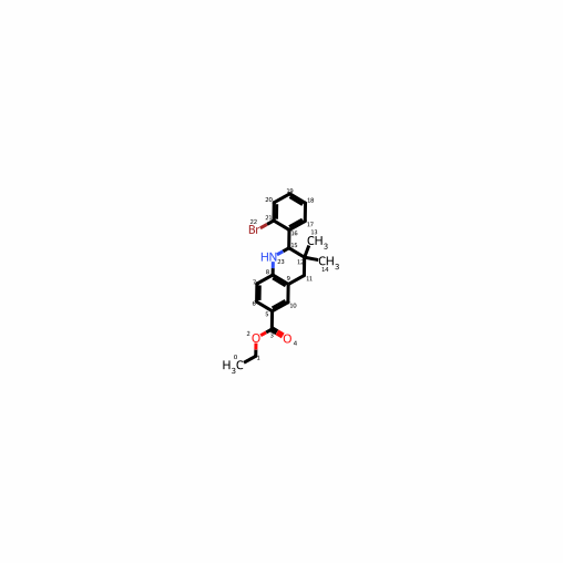 CCOC(=O)c1ccc2c(c1)CC(C)(C)C(c1ccccc1Br)N2